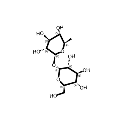 C[C@H]1O[C@@H](O[C@H]2O[C@H](CO)[C@@H](O)[C@H](O)[C@H]2O)[C@H](O)[C@@H](O)[C@@H]1O